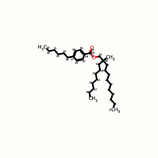 CCCCCCCCCCC(C)(CCCCCCCC)COC(=O)c1ccc(CCCCCC)cc1